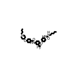 CCCCCNC(=O)Nc1ccc(Oc2ccc(NC(=O)c3ccc(OC4CCN(CCCC)CC4)cc3)cc2C(F)(F)F)cc1